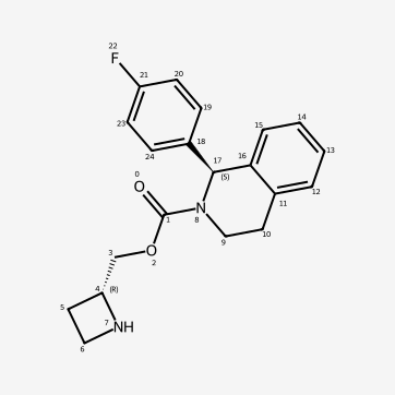 O=C(OC[C@H]1CCN1)N1CCc2ccccc2[C@@H]1c1ccc(F)cc1